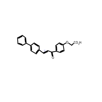 O=C(O)COc1ccc(C(=O)/C=C/c2ccc(-c3ccccc3)cc2)cc1